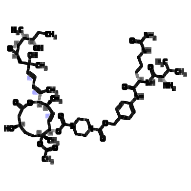 CC[C@H](O)[C@@H](C)[C@H]1O[C@@H]1CC(C)(O)/C=C/C=C(\C)[C@H]1OC(=O)C[C@H](O)CC[C@@](C)(OC(C)=O)[C@@H](OC(=O)N2CCN(C(=O)OCc3ccc(NC(=O)[C@H](CCCNC(N)=O)NC(=O)[C@@H](N)C(C)C)cc3)CC2)/C=C/[C@@H]1C